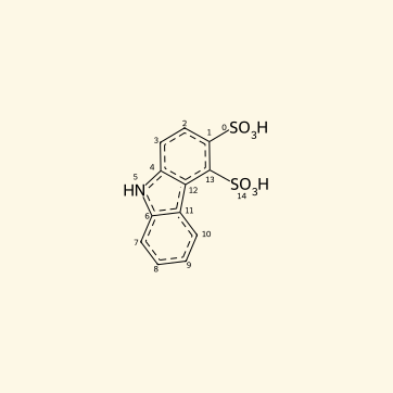 O=S(=O)(O)c1ccc2[nH]c3ccccc3c2c1S(=O)(=O)O